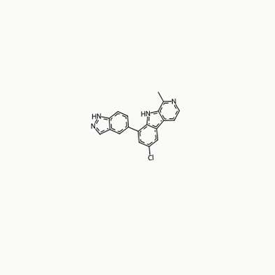 Cc1nccc2c1[nH]c1c(-c3ccc4[nH]ncc4c3)cc(Cl)cc12